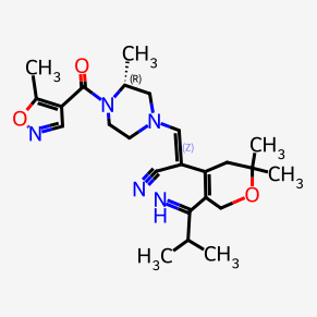 Cc1oncc1C(=O)N1CCN(/C=C(\C#N)C2=C(C(=N)C(C)C)COC(C)(C)C2)C[C@H]1C